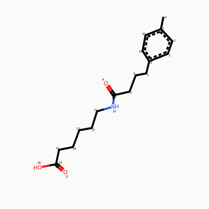 Cc1ccc(CCCC(=O)NCCCCCC(=O)O)cc1